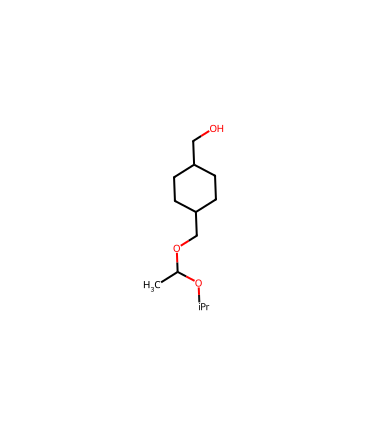 CC(C)OC(C)OCC1CCC(CO)CC1